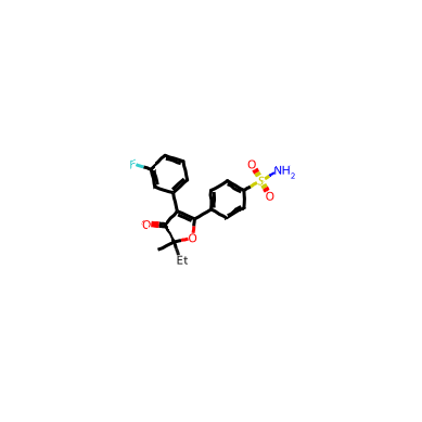 CCC1(C)OC(c2ccc(S(N)(=O)=O)cc2)=C(c2cccc(F)c2)C1=O